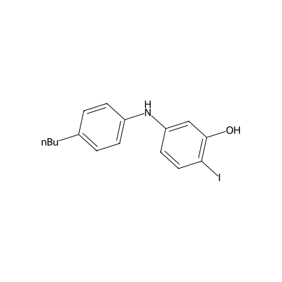 CCCCc1ccc(Nc2ccc(I)c(O)c2)cc1